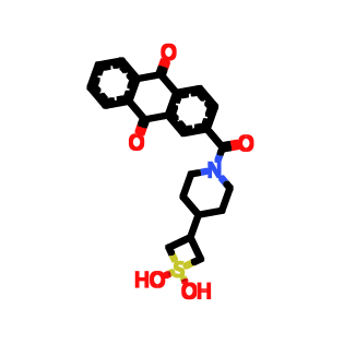 O=C1c2ccccc2C(=O)c2cc(C(=O)N3CCC(C4CS(O)(O)C4)CC3)ccc21